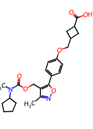 Cc1noc(-c2ccc(OCC3CC(C(=O)O)C3)cc2)c1COC(=O)N(C)C1CCCC1